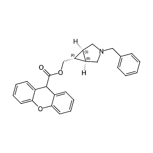 O=C(OC[C@@H]1[C@H]2CN(Cc3ccccc3)C[C@@H]12)C1c2ccccc2Oc2ccccc21